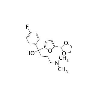 CN(C)CCCC(O)(c1ccc(F)cc1)c1ccc(C2OCCO2)o1